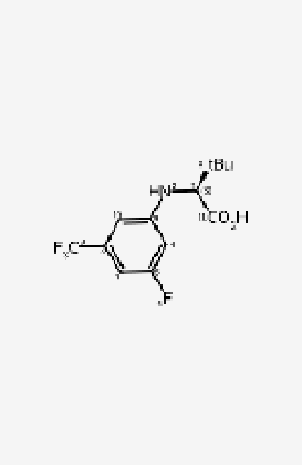 CC(C)(C)[C@H](Nc1cc(F)cc(C(F)(F)F)c1)C(=O)O